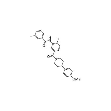 COc1ccc(C2CCN(C(=O)c3ccc(C)c(NC(=O)c4cccc(C)c4)c3)CC2)cc1